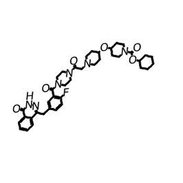 O=C(CN1CCC(OC2CCN(C(=O)OC3CCCCC3)CC2)CC1)N1CCN(C(=O)c2cc(Cc3n[nH]c(=O)c4ccccc34)ccc2F)CC1